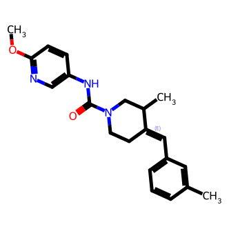 COc1ccc(NC(=O)N2CC/C(=C\c3cccc(C)c3)C(C)C2)cn1